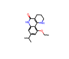 CCOc1cc(C(C)C)cc2[nH]c(=O)c3c(c12)NCCC3